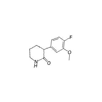 COc1cc(C2CCCNC2=O)ccc1F